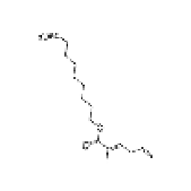 C=CCC=C(C)C(=O)OCCCCCCCCCCCCCCCCCC